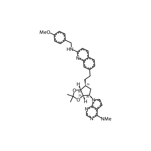 CNc1ncnc2c1ccn2[C@@H]1C[C@H](CCc2ccc3ccc(NCc4ccc(OC)cc4)nc3c2)[C@H]2OC(C)(C)O[C@H]21